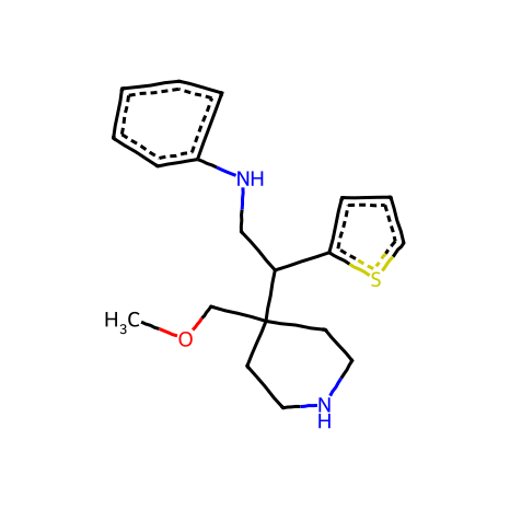 COCC1(C(CNc2ccccc2)c2cccs2)CCNCC1